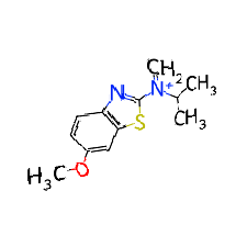 C=[N+](c1nc2ccc(OC)cc2s1)C(C)C